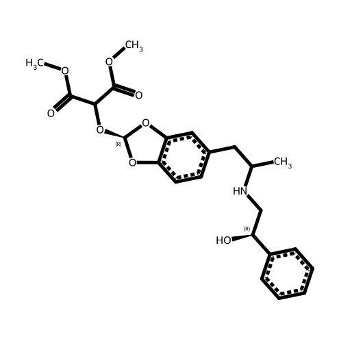 COC(=O)C(O[C@@H]1Oc2ccc(CC(C)NC[C@H](O)c3ccccc3)cc2O1)C(=O)OC